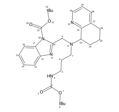 CC(C)(C)OC(=O)NCCCN(Cc1nc2ccccc2n1C(=O)OC(C)(C)C)C1CCCc2cccnc21